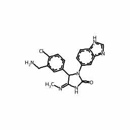 CN=C1NC(=O)N(c2ccc3[nH]cnc3c2)C1c1ccc(Cl)c(CN)c1